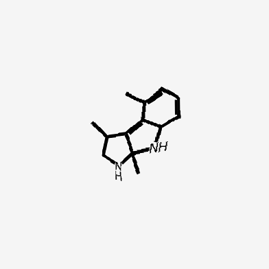 CC1=CC=CC2NC3(C)NCC(C)C3=C12